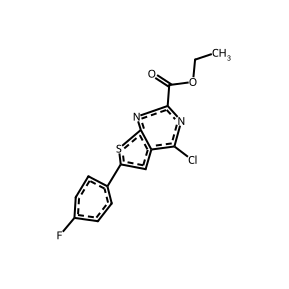 CCOC(=O)c1nc(Cl)c2cc(-c3ccc(F)cc3)sc2n1